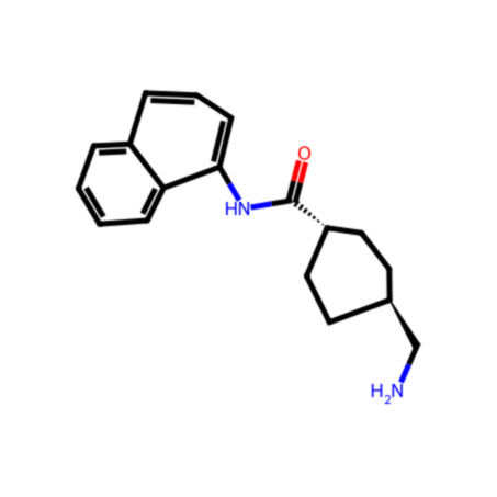 NC[C@H]1CC[C@H](C(=O)Nc2cccc3ccccc23)CC1